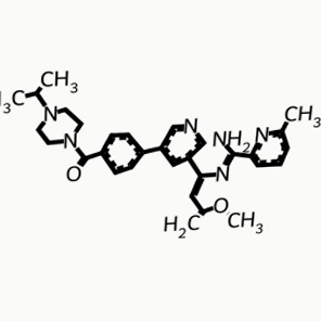 C=C(/C=C(\N=C(/N)c1cccc(C)n1)c1cncc(-c2ccc(C(=O)N3CCN(C(C)C)CC3)cc2)c1)OC